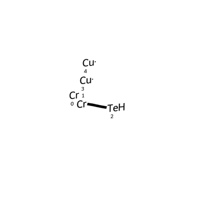 [Cr].[Cr][TeH].[Cu].[Cu]